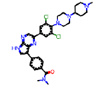 CN1CCC(N2CCN(c3c(Cl)cc(-c4cnc5[nH]cc(-c6ccc(C(=O)N(C)C)cc6)c5n4)cc3Cl)CC2)CC1